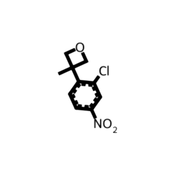 CC1(c2ccc([N+](=O)[O-])cc2Cl)COC1